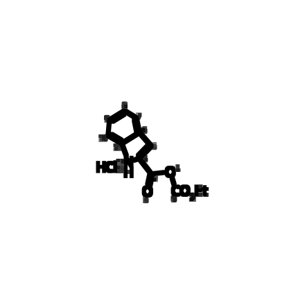 CCOC(=O)OC(=O)c1cc2ccccc2[nH]1.Cl